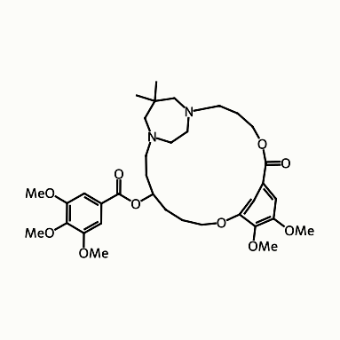 COc1cc(C(=O)OC2CCCOc3cc(cc(OC)c3OC)C(=O)OCCCN3CCN(CC2)CC(C)(C)C3)cc(OC)c1OC